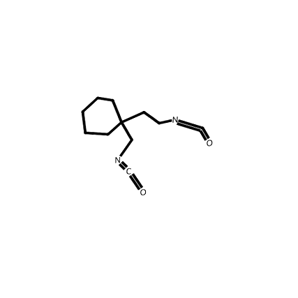 O=C=NCCC1(CN=C=O)CCCCC1